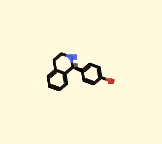 Brc1ccc([C@@H]2NCCc3ccccc32)cc1